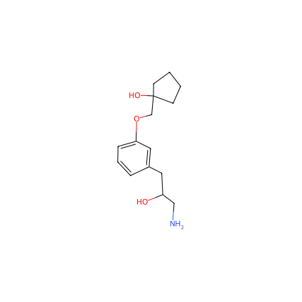 NCC(O)Cc1cccc(OCC2(O)CCCC2)c1